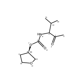 CC(=O)C(NC(=O)O[C@@H]1CCOC1)C(C)C